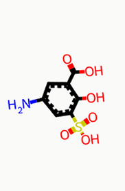 Nc1cc(C(=O)O)c(O)c(S(=O)(=O)O)c1